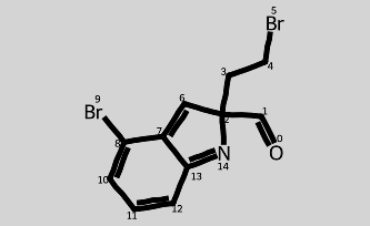 O=CC1(CCBr)C=c2c(Br)cccc2=N1